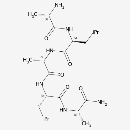 CC(C)C[C@H](NC(=O)[C@H](C)N)C(=O)N[C@@H](C)C(=O)N[C@@H](CC(C)C)C(=O)N[C@@H](C)C(N)=O